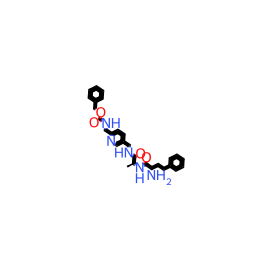 C[C@H](NC(=O)[C@H](N)CCc1ccccc1)C(=O)NCc1ccc(CNC(=O)OCc2ccccc2)nc1